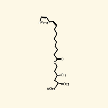 CCCCC/C=C\C/C=C\CCCCCCCC(=O)OCCC(O)CC(CCCCCCCC)CCCCCCCC